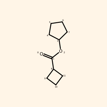 O=C(OC1CCCC1)C1CCC1